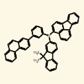 CC1(C)c2ccccc2-c2ccc(N(c3cccc(-c4ccc5c(ccc6ccccc65)c4)c3)c3ccc4c5c(cccc35)-c3ccccc3-4)cc21